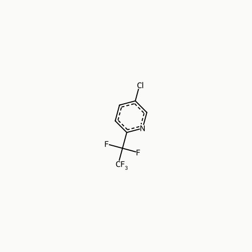 FC(F)(F)C(F)(F)c1ccc(Cl)cn1